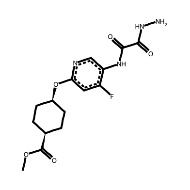 COC(=O)[C@H]1CC[C@@H](Oc2cc(F)c(NC(=O)C(=O)NN)cn2)CC1